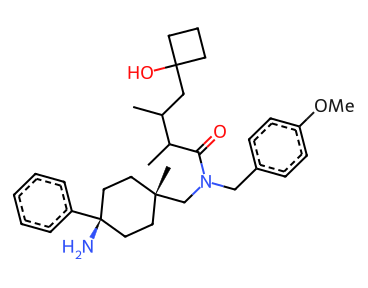 COc1ccc(CN(C[C@]2(C)CC[C@](N)(c3ccccc3)CC2)C(=O)C(C)C(C)CC2(O)CCC2)cc1